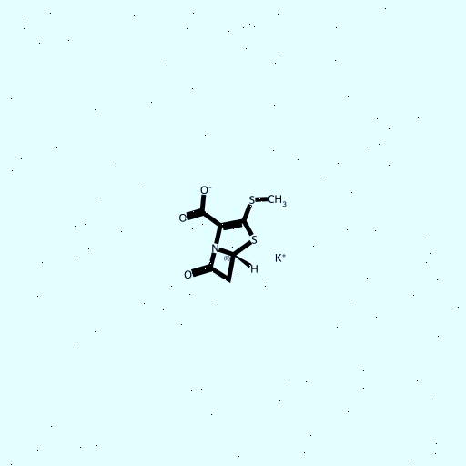 CSC1=C(C(=O)[O-])N2C(=O)C[C@H]2S1.[K+]